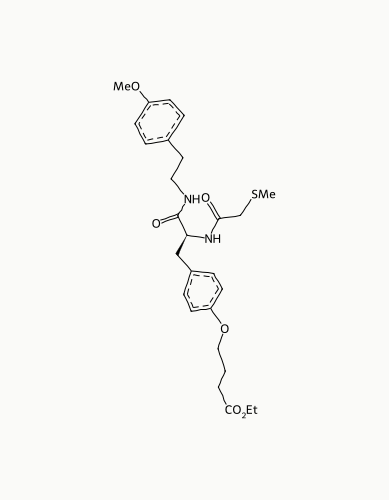 CCOC(=O)CCCOc1ccc(C[C@H](NC(=O)CSC)C(=O)NCCc2ccc(OC)cc2)cc1